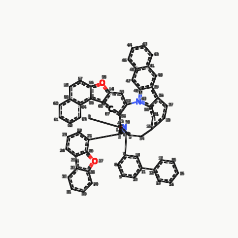 CC1C/C=C2/C(=C(c3cccc(-c4ccccc4)c3)\N=C/1c1cccc3c1oc1ccccc13)Cc1ccc3c4cc5ccccc5cc4n(c3c1)-c1cc3oc4ccc5ccccc5c4c3cc12